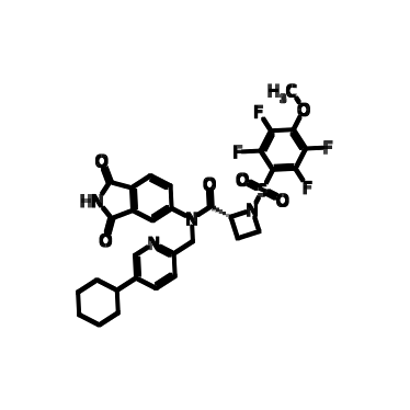 COc1c(F)c(F)c(S(=O)(=O)N2CC[C@@H]2C(=O)N(Cc2ccc(C3CCCCC3)cn2)c2ccc3c(c2)C(=O)NC3=O)c(F)c1F